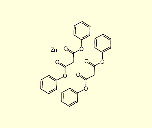 O=C(CC(=O)Oc1ccccc1)Oc1ccccc1.O=C(CC(=O)Oc1ccccc1)Oc1ccccc1.[Zn]